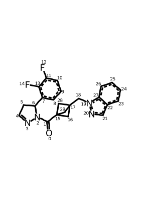 O=C(N1N=CCC1c1cccc(F)c1F)C12CC(Cn3ncc4ccccc43)(C1)C2